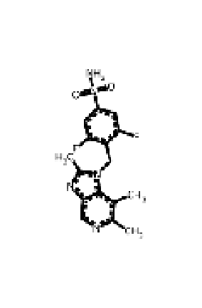 Cc1ncc2nc(C)n(Cc3c(F)cc(S(N)(=O)=O)cc3F)c2c1C